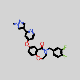 Cn1cc(-c2cc(Oc3ccc4c(c3)C(=O)N(Cc3ccc(F)c(F)c3)CCO4)ccn2)cn1